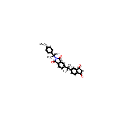 CCCC(C)(c1ccc(OC)cc1)N1C(=O)c2ccc(C(c3ccc4c(c3)C(=O)CC4=O)(C(F)(F)F)C(F)(F)F)cc2C1=O